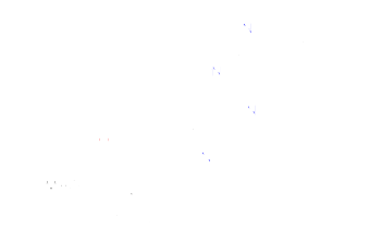 COC(=O)C1(c2cnc(-c3nc4cc(C)cnc4n3C)c(C)c2)CC1